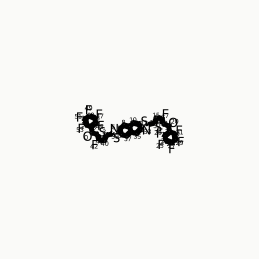 O=C(c1sc(-c2nc3cc4cc5sc(-c6cc(F)c(C(=O)c7c(F)c(F)c(F)c(F)c7F)s6)nc5cc4cc3s2)cc1F)c1c(F)c(F)c(F)c(F)c1F